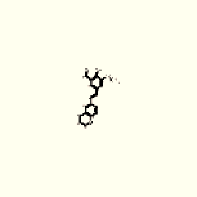 COc1cc(C=Cc2ccc3c(c2)CCCO3)cc(C=O)c1O